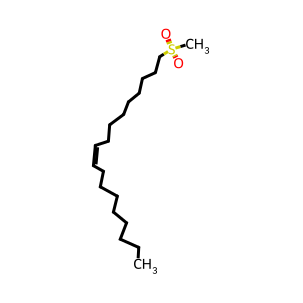 CCCCCCCC/C=C\CCCCCCCCS(C)(=O)=O